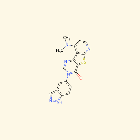 CN(C)c1ccnc2sc3c(=O)n(-c4ccc5[nH]ncc5c4)cnc3c12